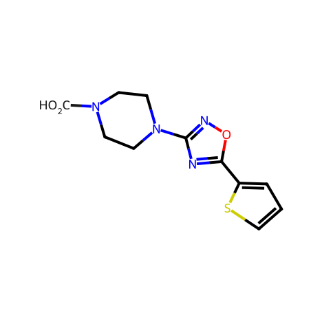 O=C(O)N1CCN(c2noc(-c3cccs3)n2)CC1